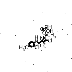 Cc1ccc(NC(=O)c2nn(C(C)OP(=O)(O)O)c(Cl)c2Cl)c(Cl)c1